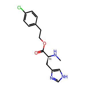 CN[C@@H](Cc1c[nH]cn1)C(=O)OCCc1ccc(Cl)cc1